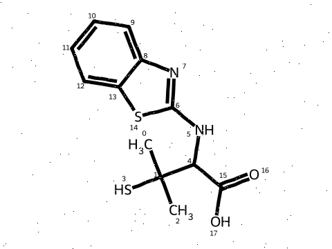 CC(C)(S)C(Nc1nc2ccccc2s1)C(=O)O